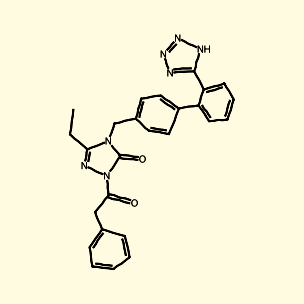 CCc1nn(C(=O)Cc2ccccc2)c(=O)n1Cc1ccc(-c2ccccc2-c2nnn[nH]2)cc1